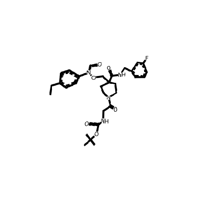 CCc1ccc(N(C=O)OCC2(C(=O)NCc3cccc(F)c3)CCN(C(=O)CNC(=O)OC(C)(C)C)CC2)cc1